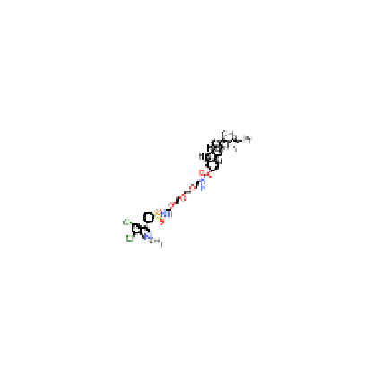 CC(C)CCC[C@@H](C)[C@H]1CC[C@H]2[C@@H]3CC=C4C[C@@H](OC(=O)NCCOCCOCCOCCNS(=O)(=O)c5cccc([C@@H]6CN(C)Cc7c(Cl)cc(Cl)cc76)c5)CC[C@]4(C)[C@H]3CC[C@]12C